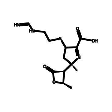 C[C@H]1OC(=O)[C@H]1[C@@]1(C)CC(SCCNC=N)C(C(=O)O)=N1